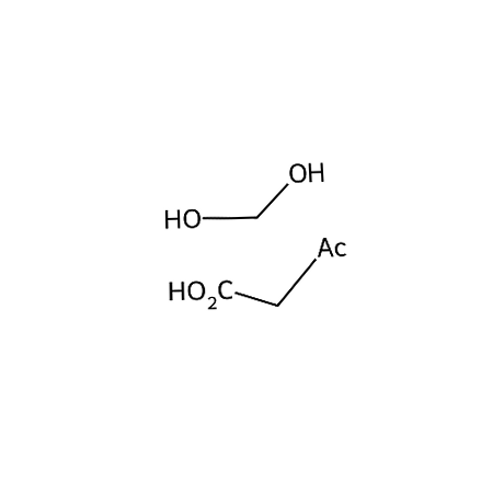 CC(=O)CC(=O)O.OCO